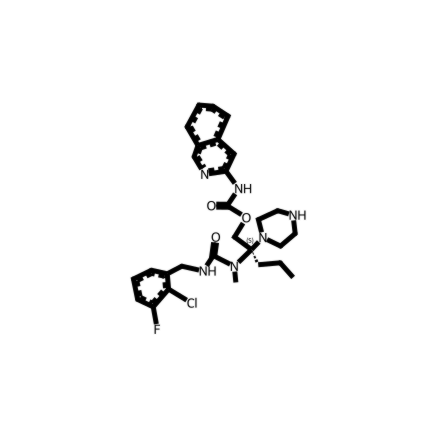 CCC[C@](COC(=O)Nc1cc2ccccc2cn1)(N1CCNCC1)N(C)C(=O)NCc1cccc(F)c1Cl